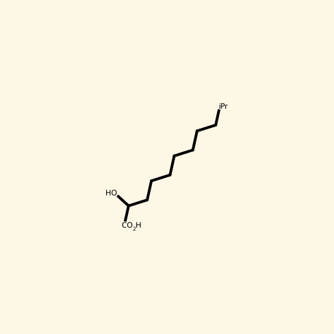 CC(C)CCCCCCCC(O)C(=O)O